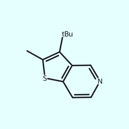 Cc1sc2ccncc2c1C(C)(C)C